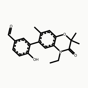 CCN1C(=O)C(C)(C)Oc2cc(C)c(-c3cc(C=O)ccc3O)cc21